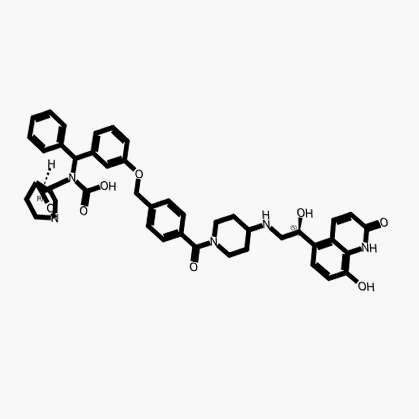 O=C(c1ccc(COc2cccc(C(c3ccccc3)N(C(=O)O)[C@H]3CN4CCC3CC4)c2)cc1)N1CCC(NC[C@@H](O)c2ccc(O)c3[nH]c(=O)ccc23)CC1